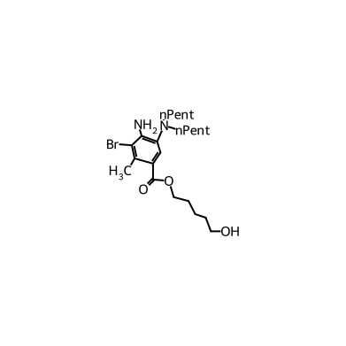 CCCCCN(CCCCC)c1cc(C(=O)OCCCCCO)c(C)c(Br)c1N